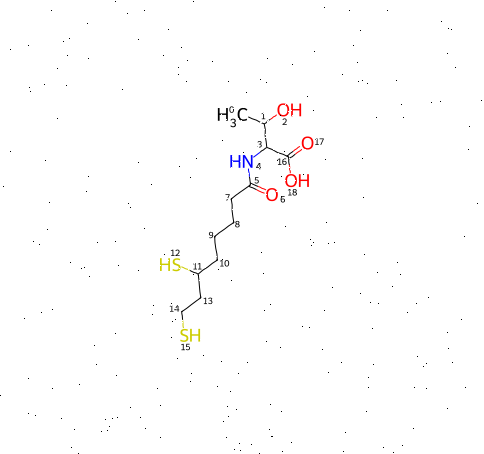 CC(O)C(NC(=O)CCCCC(S)CCS)C(=O)O